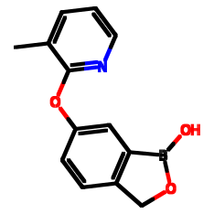 Cc1cccnc1Oc1ccc2c(c1)B(O)OC2